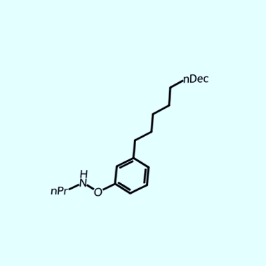 CCCCCCCCCCCCCCCc1cccc(ONCCC)c1